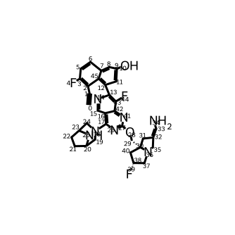 C#Cc1c(F)ccc2cc(O)cc(-c3ncc4c(N5CC6CCC(C5)N6)nc(OC[C@]56C/C(=C\N)CN5C[C@H](F)C6)nc4c3F)c12